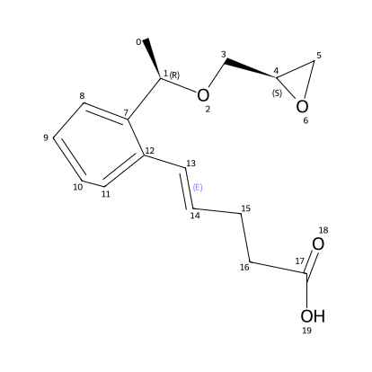 C[C@@H](OC[C@H]1CO1)c1ccccc1/C=C/CCC(=O)O